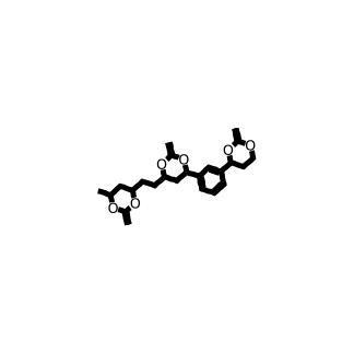 C=C1OC(C)CC(CCC2CC(c3cccc(C4CCOC(=C)O4)c3)OC(=C)O2)O1